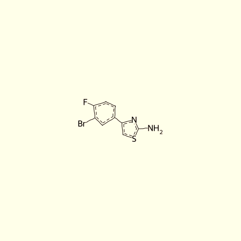 Nc1nc(-c2ccc(F)c(Br)c2)cs1